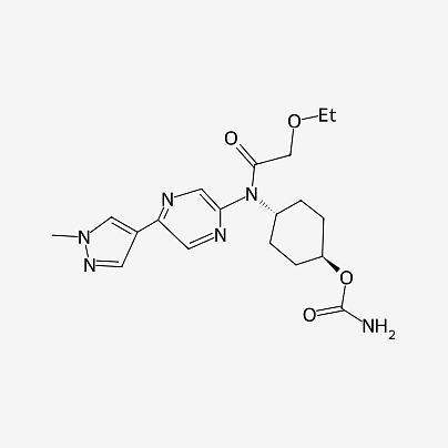 CCOCC(=O)N(c1cnc(-c2cnn(C)c2)cn1)[C@H]1CC[C@H](OC(N)=O)CC1